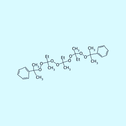 CCC(C)(OOC(C)(CC)OOC(C)(C)c1ccccc1)OOC(C)(CC)OOC(C)(C)c1ccccc1